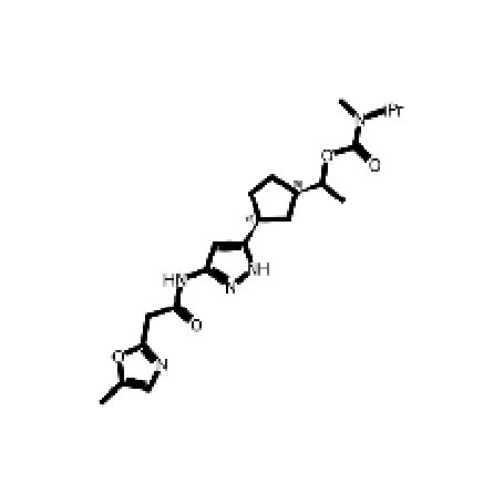 Cc1cnc(CC(=O)Nc2cc([C@H]3CC[C@@H](C(C)OC(=O)N(C)C(C)C)C3)[nH]n2)o1